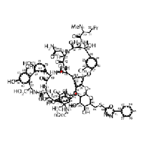 CCCCCCCCCCNC1(C)CC(OC2C(Oc3c4cc5cc3Oc3ccc(cc3Cl)[C@@H](O)[C@@H](NC(=O)[C@H](CC(C)C)NC)C(=O)N[C@@H](CC(N)=O)C(=O)N[C@H]5C(=O)N[C@H]3C(=O)N[C@H](C(=O)N[C@@H](C(=O)O)c5cc(O)cc(O)c5-c5cc3ccc5O)[C@H](O)c3ccc(c(Cl)c3)O4)OC(CSc3nnc(-c4ccccc4)o3)C(O)C2O)OC(C)C1O